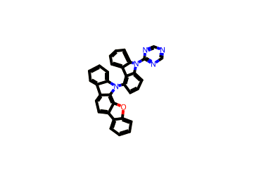 c1ccc2c(c1)oc1c2ccc2c3ccccc3n(-c3cccc4c3c3ccccc3n4-c3ncncn3)c21